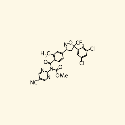 COC(=O)N(C(=O)c1ccc(C2=NOC(c3cc(Cl)cc(Cl)c3)(C(F)(F)F)C2)cc1C)c1ncc(C#N)cn1